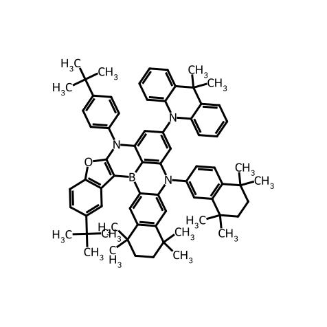 CC(C)(C)c1ccc(N2c3cc(N4c5ccccc5C(C)(C)c5ccccc54)cc4c3B(c3cc5c(cc3N4c3ccc4c(c3)C(C)(C)CCC4(C)C)C(C)(C)CCC5(C)C)c3c2oc2ccc(C(C)(C)C)cc32)cc1